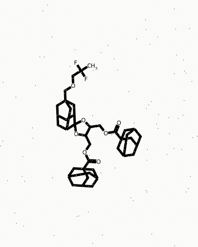 CC(F)(F)COCC12CC3CC(C1)C1(OC(COC(=O)C45CC6CC(CC(C6)C4)C5)C(COC(=O)C45CC6CC(CC(C6)C4)C5)O1)C(C3)C2